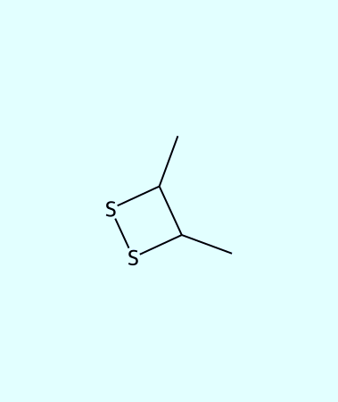 CC1SSC1C